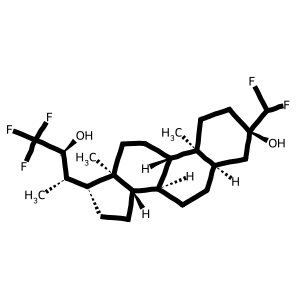 C[C@@H]([C@H]1CC[C@H]2[C@@H]3CC[C@@H]4C[C@@](O)(C(F)F)CC[C@]4(C)[C@H]3CC[C@]12C)[C@H](O)C(F)(F)F